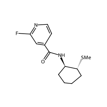 CS[C@@H]1CCCC[C@H]1NC(=O)c1ccnc(F)c1